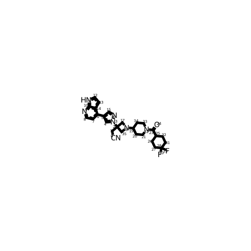 N#CCC1(n2cc(-c3ccnc4[nH]ccc34)cn2)CN(C2CCN(C(=O)C3CCC(F)(F)CC3)CC2)C1